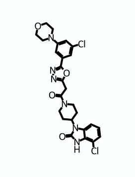 O=C(Cc1nnc(-c2cc(Cl)cc(N3CCOCC3)c2)o1)N1CCC(n2c(=O)[nH]c3c(Cl)cccc32)CC1